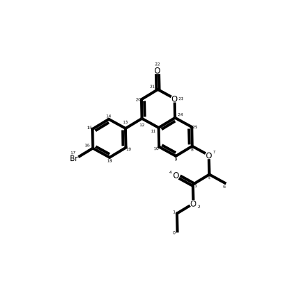 CCOC(=O)C(C)Oc1ccc2c(-c3ccc(Br)cc3)cc(=O)oc2c1